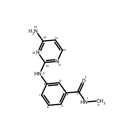 CNC(=O)c1cccc(Nc2nccc(N)n2)c1